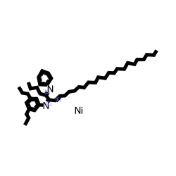 CCCCCCCCCCCCCCCCCCCC/C=C/C(=N/c1cc(CCC)cc(CCC)c1)C(/CCCC)=N/c1ccccc1.[Ni]